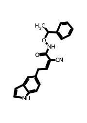 CC(ONC(=O)/C(C#N)=C\Cc1ccc2[nH]ccc2c1)c1ccccc1